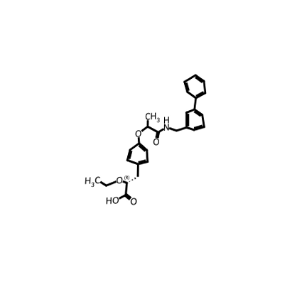 CCO[C@H](Cc1ccc(OC(C)C(=O)NCc2cccc(-c3ccccc3)c2)cc1)C(=O)O